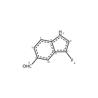 O=Cc1ccc2[nH]cc(F)c2c1